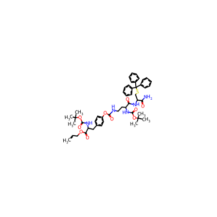 C=CCOC(=O)C(Cc1ccc(OC(=O)NCCC(NC(=O)OC(C)(C)C)C(=O)NC(CSC(c2ccccc2)(c2ccccc2)c2ccccc2)C(N)=O)cc1)NC(=O)OC(C)(C)C